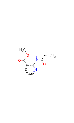 CCC(=O)Nc1ncccc1C(=O)OC